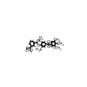 COC(=O)c1cccc(C(=O)Oc2c(C)cc(C(C)(C)c3cc(C)c(C)c(C)c3)cc2C)c1